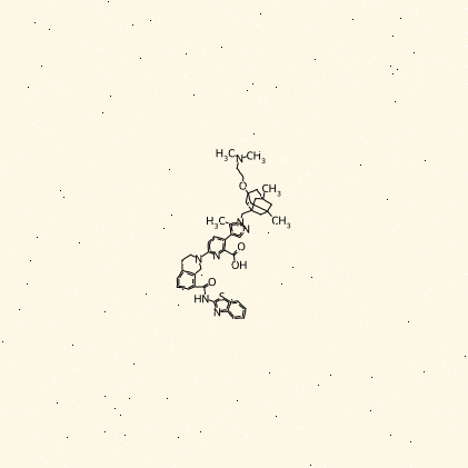 Cc1c(-c2ccc(N3CCc4cccc(C(=O)Nc5nc6ccccc6s5)c4C3)nc2C(=O)O)cnn1CC12CC3(C)CC(C)(C1)CC(OCCN(C)C)(C3)C2